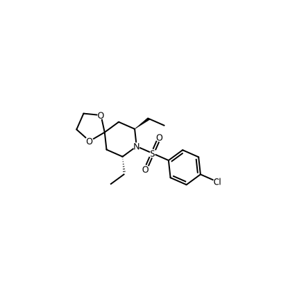 CC[C@@H]1CC2(C[C@@H](CC)N1S(=O)(=O)c1ccc(Cl)cc1)OCCO2